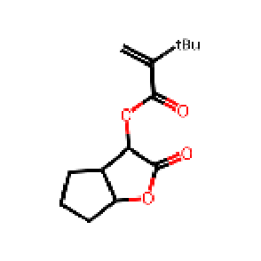 C=C(C(=O)OC1C(=O)OC2CCCC21)C(C)(C)C